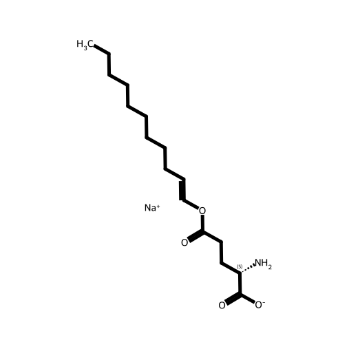 CCCCCCCCCC=COC(=O)CC[C@H](N)C(=O)[O-].[Na+]